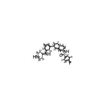 O=C(Nc1ncc2ccc(-c3cncc(NC4CCNCC4)c3)cc2n1)c1ccc(F)cc1